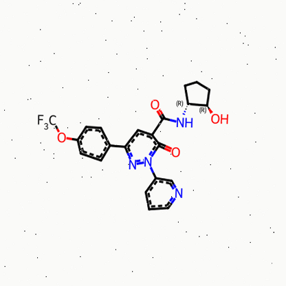 O=C(N[C@@H]1CCC[C@H]1O)c1cc(-c2ccc(OC(F)(F)F)cc2)nn(-c2cccnc2)c1=O